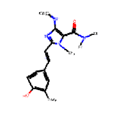 CCN(CC)C(=O)c1c(NC=O)nc(/C=C/c2ccc(O)c(OC)c2)n1C